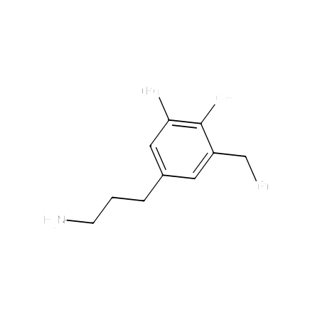 CC(C)Cc1cc(CCCN)cc(C(C)(C)C)c1O